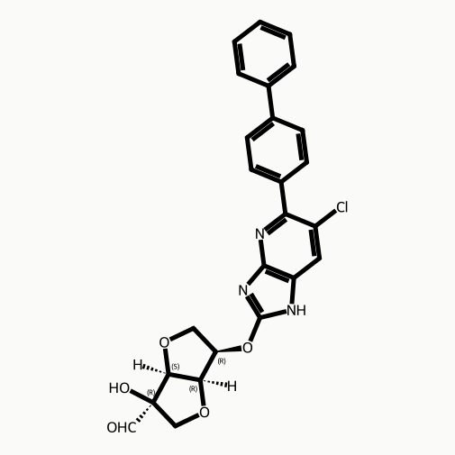 O=C[C@@]1(O)CO[C@@H]2[C@H](Oc3nc4nc(-c5ccc(-c6ccccc6)cc5)c(Cl)cc4[nH]3)CO[C@@H]21